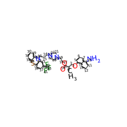 CC(COc1cccc2c(N)cccc12)C(=O)OCCN1CCN(CCCN2c3ccccc3Sc3ccc(C(F)(F)F)cc32)CC1